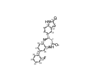 O=C1CC(c2ccc3[nH]c(=O)sc3c2)=Nc2ccc(-c3ccccc3F)cc2N1